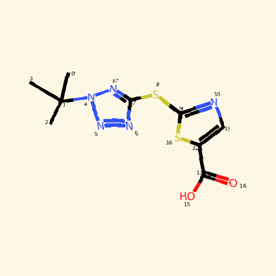 CC(C)(C)n1nnc(Sc2ncc(C(=O)O)s2)n1